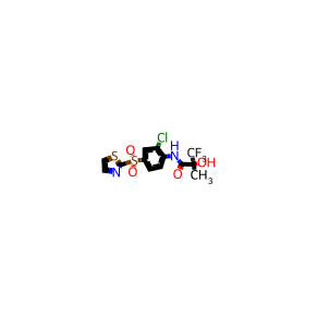 CC(O)(C(=O)Nc1ccc(S(=O)(=O)c2nccs2)cc1Cl)C(F)(F)F